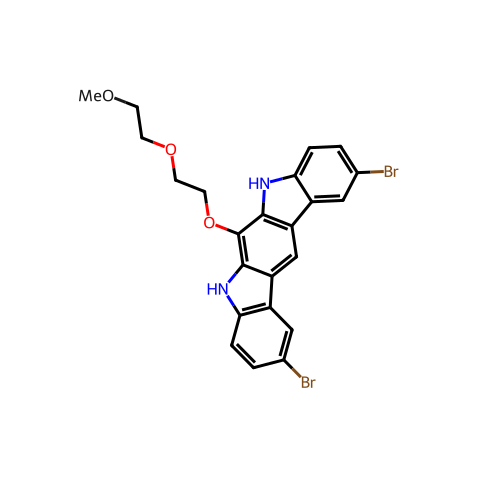 COCCOCCOc1c2[nH]c3ccc(Br)cc3c2cc2c1[nH]c1ccc(Br)cc12